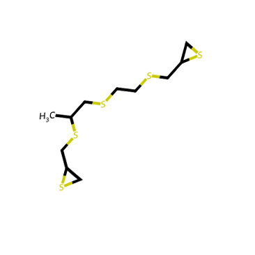 CC(CSCCSCC1CS1)SCC1CS1